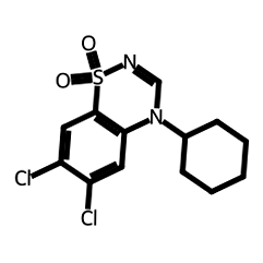 O=S1(=O)N=CN(C2CCCCC2)c2cc(Cl)c(Cl)cc21